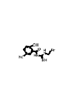 CC(C)CNC(=N)NC(=O)c1cc(C#N)ccc1O